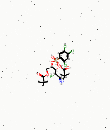 CC(C)(C)C(=O)OC[C@@H](OS(=O)(=O)c1cc(Cl)c(Cl)cc1Cl)[C@H](OC(=O)C(C)(C)C)[C@@H](F)C=N